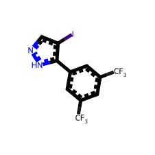 FC(F)(F)c1cc(-c2[nH]ncc2I)cc(C(F)(F)F)c1